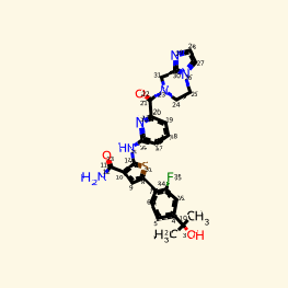 CC(C)(O)c1ccc(-c2cc(C(N)=O)c(Nc3cccc(C(=O)N4CCn5ccnc5C4)n3)s2)c(F)c1